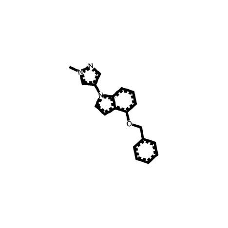 Cn1cc(-n2ccc3c(OCc4ccccc4)cccc32)cn1